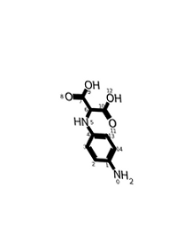 Nc1ccc(NC(C(=O)O)C(=O)O)cc1